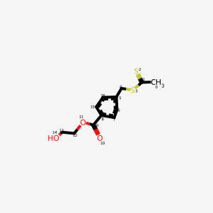 CC(=S)SCc1ccc(C(=O)OCCO)cc1